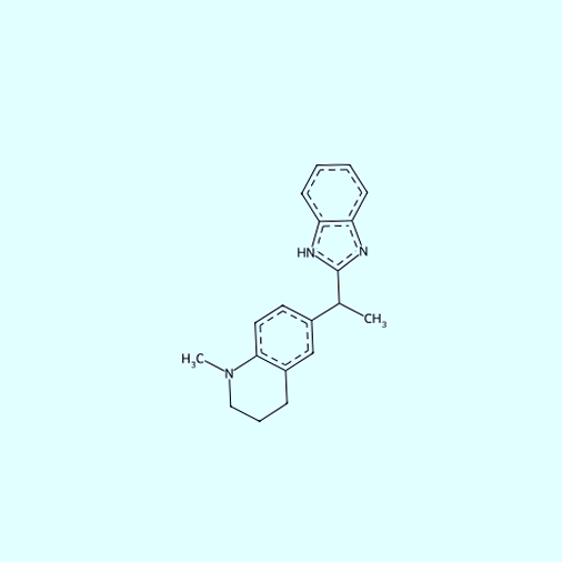 CC(c1ccc2c(c1)CCCN2C)c1nc2ccccc2[nH]1